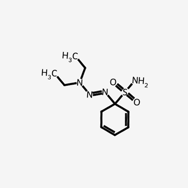 CCN(CC)N=NC1(S(N)(=O)=O)C=CC=CC1